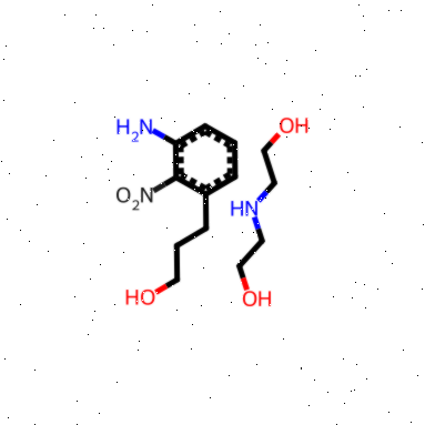 Nc1cccc(CCCO)c1[N+](=O)[O-].OCCNCCO